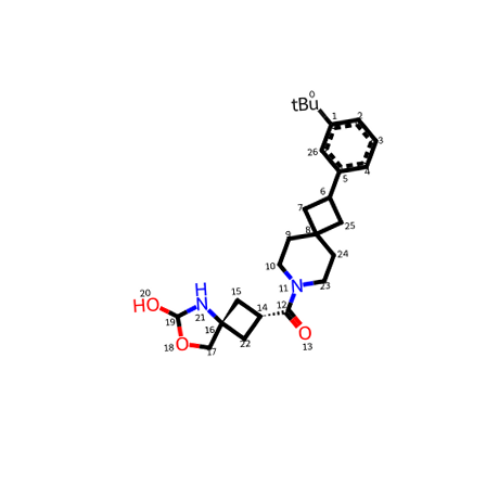 CC(C)(C)c1cccc(C2CC3(CCN(C(=O)[C@H]4C[C@]5(COC(O)N5)C4)CC3)C2)c1